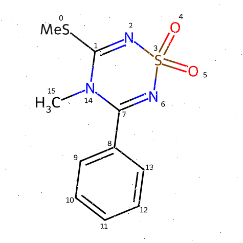 CSC1=NS(=O)(=O)N=C(c2ccccc2)N1C